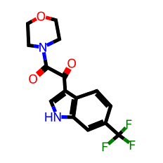 O=C(C(=O)N1CCOCC1)c1c[nH]c2cc(C(F)(F)F)ccc12